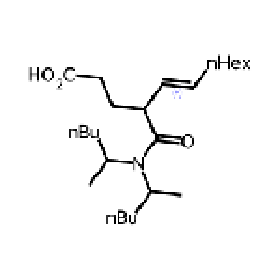 CCCCCC/C=C/C(CCC(=O)O)C(=O)N(C(C)CCCC)C(C)CCCC